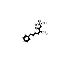 CC(CCCCc1ccccc1)C(=O)CP(=O)(O)O